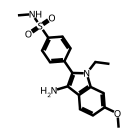 CCn1c(-c2ccc(S(=O)(=O)NC)cc2)c(N)c2ccc(OC)cc21